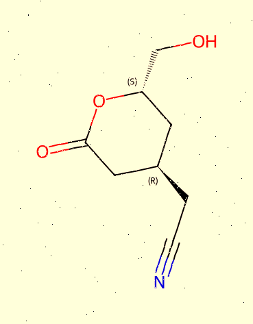 N#CC[C@H]1CC(=O)O[C@H](CO)C1